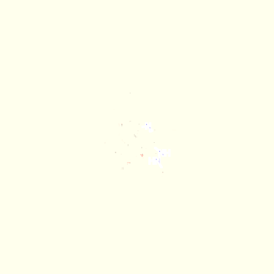 CCOCc1nc(O)c(NNC=O)c(O)c1-c1c(OC)cccc1OC